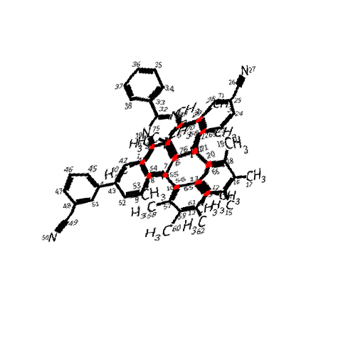 Cc1c(C)c(C)c2c(c1C)Cc1c(C)c(C)c(C)c(C)c1N2c1ccc(C#N)cc1-c1nc(-c2ccccc2)nc(-c2cc(-c3cccc(C#N)c3)ccc2N2c3c(C)c(C)c(C)c(C)c3Cc3c(C)c(C)c(C)c(C)c32)n1